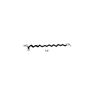 CCCCCCCCCCCCCC=CC=CC(=O)O.[La]